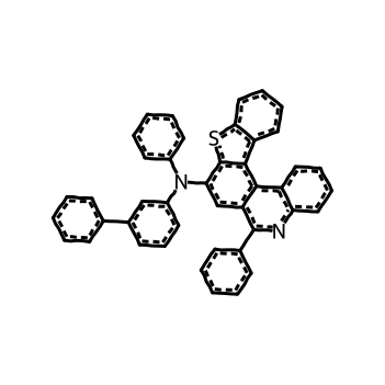 c1ccc(-c2cccc(N(c3ccccc3)c3cc4c(-c5ccccc5)nc5ccccc5c4c4c3sc3ccccc34)c2)cc1